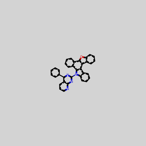 c1ccc(-c2nc(-n3c4ccccc4c4c5c6ccccc6oc5c5ccccc5c43)nc3ncccc23)cc1